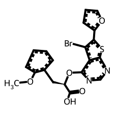 COc1ccccc1C[C@@H](Oc1ncnc2sc(-c3ccco3)c(Br)c12)C(=O)O